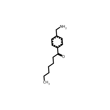 CCCCCCC(=O)c1ccc(CN)cc1